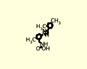 Cc1ccc(-c2cnn(-c3ccc(C)c(CNC(=O)O)c3)n2)c(C)c1